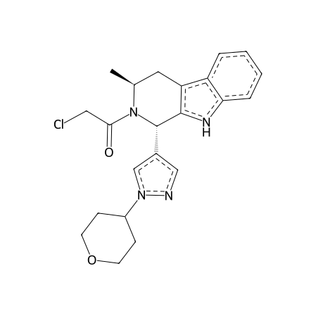 C[C@H]1Cc2c([nH]c3ccccc23)[C@H](c2cnn(C3CCOCC3)c2)N1C(=O)CCl